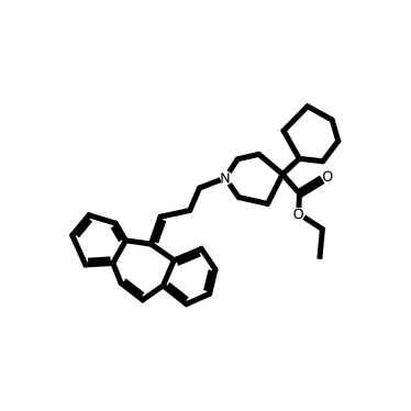 CCOC(=O)C1(C2CCCCC2)CCN(CCC=C2c3ccccc3C=Cc3ccccc32)CC1